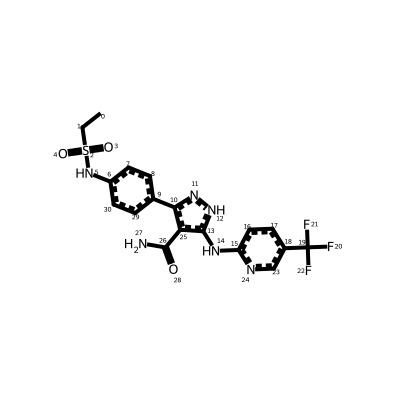 CCS(=O)(=O)Nc1ccc(-c2n[nH]c(Nc3ccc(C(F)(F)F)cn3)c2C(N)=O)cc1